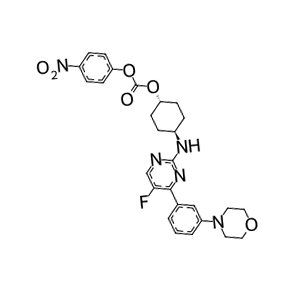 O=C(Oc1ccc([N+](=O)[O-])cc1)O[C@H]1CC[C@H](Nc2ncc(F)c(-c3cccc(N4CCOCC4)c3)n2)CC1